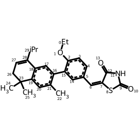 CCOc1ccc(/C=C2/SC(=O)NC2=O)cc1-c1cc2c(cc1C)C(C)(C)CC=C2C(C)C